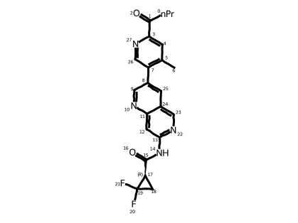 CCCC(=O)c1cc(C)c(-c2cnc3cc(NC(=O)[C@H]4CC4(F)F)ncc3c2)cn1